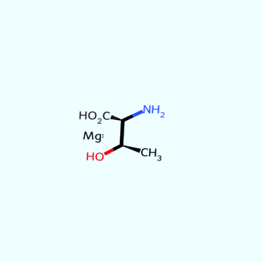 C[C@@H](O)[C@H](N)C(=O)O.[Mg]